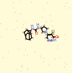 O=C(NC1C2CC3CC(C2)CC1C3)N[C@@H]1CCN(c2cn[nH]c(=O)c2Cl)C1